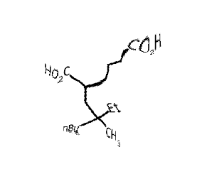 CCCCC(C)(CC)CC(CCCC(=O)O)C(=O)O